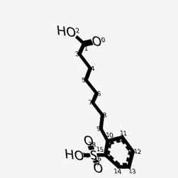 O=C(O)CCCCCCCc1ccccc1S(=O)(=O)O